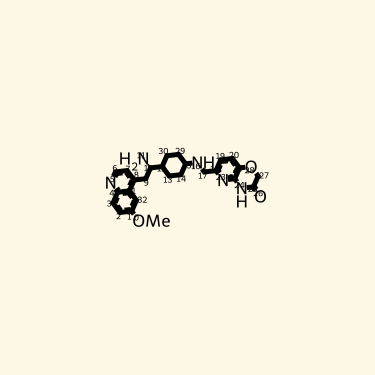 COc1ccc2nccc(C[C@H](N)C3CCC(NCc4ccc5c(n4)NC(=O)CO5)CC3)c2c1